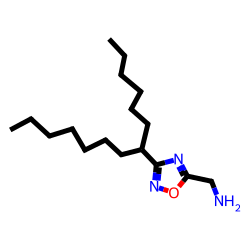 CCCCCCCC(CCCCCC)c1noc(CN)n1